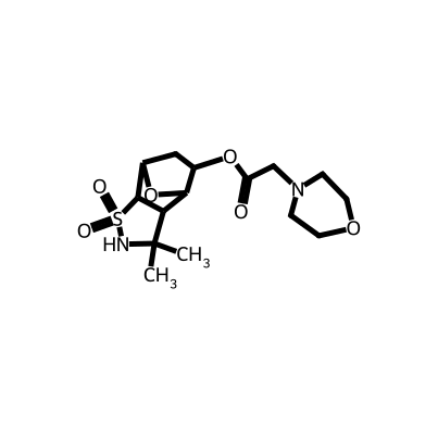 CC1(C)NS(=O)(=O)C2C3CC(OC(=O)CN4CCOCC4)C(O3)C21